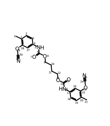 Cc1ccc(NC(=O)OCCCCOC(=O)Nc2ccc(C)c(OC#N)c2)cc1OC#N